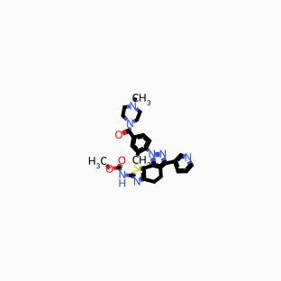 COC(=O)Nc1nc2c(s1)-c1c(c(-c3cccnc3)nn1-c1ccc(C(=O)N3CCN(C)CC3)cc1C)CC2